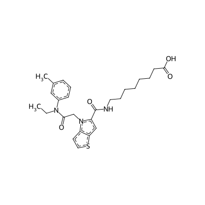 CCN(C(=O)Cn1c(C(=O)NCCCCCCCC(=O)O)cc2sccc21)c1cccc(C)c1